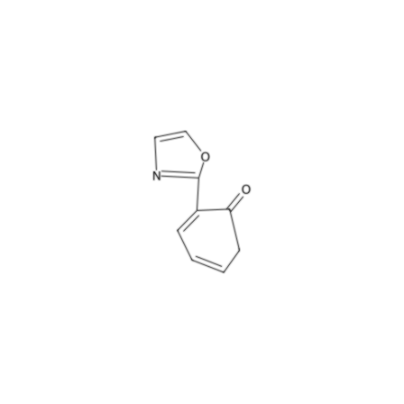 O=C1CC=CC=C1c1ncco1